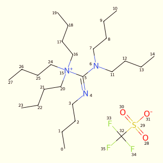 CCCCN=C(N(CCCC)CCCC)[N+](CCCC)(CCCC)CCCC.O=S(=O)([O-])C(F)(F)F